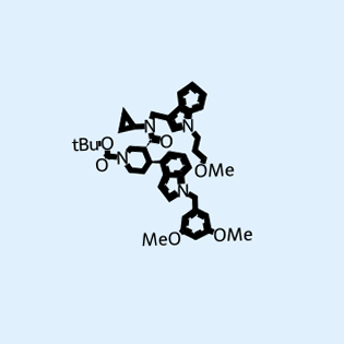 COCCCn1cc(CN(C(=O)[C@H]2CN(C(=O)OC(C)(C)C)CC[C@@H]2c2cccc3c2ccn3Cc2cc(OC)cc(OC)c2)C2CC2)c2ccccc21